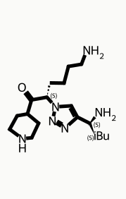 CC[C@H](C)[C@H](N)c1cn([C@@H](CCCCN)C(=O)C2CCNCC2)nn1